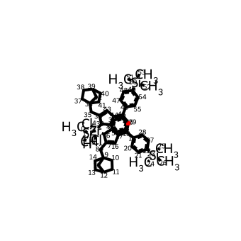 C[SiH](C)[Zr]([Cl])([Cl])([CH]1C(CC23CCC(CC2)C3)=Cc2c(-c3ccc([Si](C)(C)C)cc3)cccc21)[CH]1C(CC23CCC(CC2)C3)=Cc2c(-c3ccc([Si](C)(C)C)cc3)cccc21